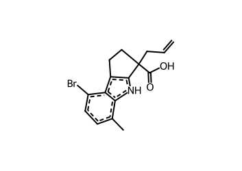 C=CCC1(C(=O)O)CCc2c1[nH]c1c(C)ccc(Br)c21